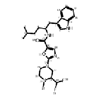 CC(C)CCC(Cc1c[nH]c2ccccc12)NC(=O)c1cnc(N2CCN(C)C(C(F)F)C2)o1